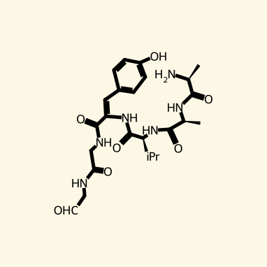 CC(C)[C@H](NC(=O)[C@H](C)NC(=O)[C@H](C)N)C(=O)N/C(=C\c1ccc(O)cc1)C(=O)NCC(=O)NCC=O